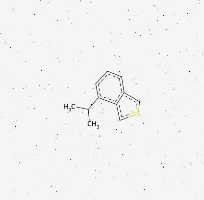 CC(C)c1cccc2cs[c]c12